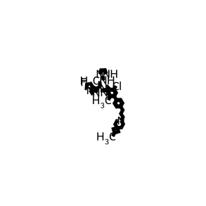 C=C(Nc1ncc[nH]1)C(c1ncn2c1C[C@@H](F)C2)n1cc2c(Cl)cc(-c3ccc(CCCN4CCC5(CC4)CC(C)C5)cc3)c(C)c2n1